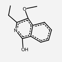 CCc1nc(O)c2ccccc2c1OC